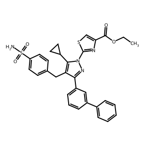 CCOC(=O)c1csc(-n2nc(-c3cccc(-c4ccccc4)c3)c(Cc3ccc(S(N)(=O)=O)cc3)c2C2CC2)n1